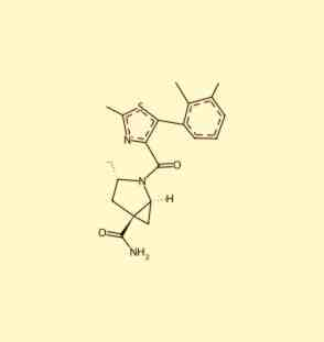 [CH2][C@H]1C[C@@]2(C(N)=O)C[C@@H]2N1C(=O)c1nc(C)sc1-c1cccc(C)c1C